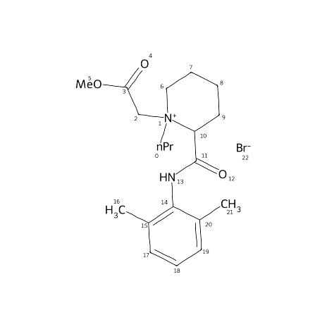 CCC[N+]1(CC(=O)OC)CCCCC1C(=O)Nc1c(C)cccc1C.[Br-]